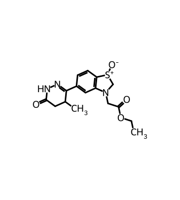 CCOC(=O)CN1C[S+]([O-])c2ccc(C3=NNC(=O)CC3C)cc21